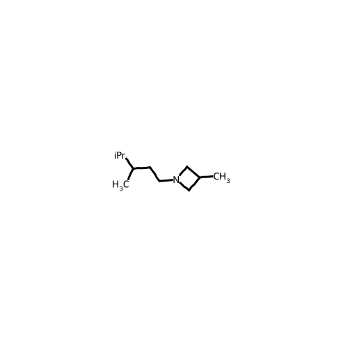 CC1CN(CCC(C)C(C)C)C1